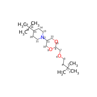 CC(C)(C)CCOCC1OCC(N2CCC(C(C)(C)C)CC2)CO1